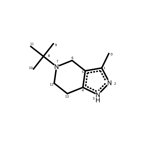 Cc1n[nH]c2c1CN(C(C)(C)C)CC2